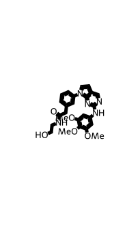 COc1cc(Nc2ncc3ccn(-c4cccc(CC(=O)NCCO)c4)c3n2)cc(OC)c1OC